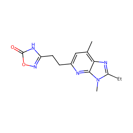 CCc1nc2c(C)cc(CCc3noc(=O)[nH]3)nc2n1C